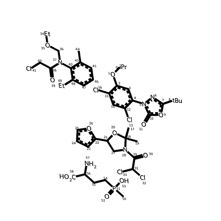 CC(C)Oc1cc(-n2nc(C(C)(C)C)oc2=O)c(Cl)cc1Cl.CC1(C)OC(c2ccco2)CN1C(=O)C(Cl)Cl.CCOCN(C(=O)CCl)c1c(C)cccc1CC.CP(=O)(O)CCC(N)C(=O)O